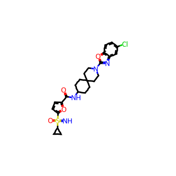 N=S(=O)(c1ccc(C(=O)NC2CCC3(CC2)CCN(c2nc4cc(Cl)ccc4o2)CC3)o1)C1CC1